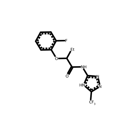 CCC(Oc1ccccc1F)C(=O)Nc1nnc(C(F)(F)F)[nH]1